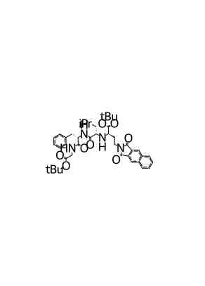 CC(C)C[C@H](N[C@H](CCN1C(=O)c2cc3ccccc3cc2C1=O)C(=O)OC(C)(C)C)C(=O)N[C@@H](Cc1ccccc1)C(=O)NCC(=O)OC(C)(C)C